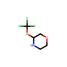 FC(F)(F)OC1[CH]OCCN1